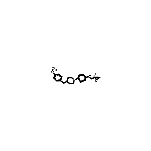 C[C@]1(COc2ccc(N3CCC(Cc4ccc(OC(F)(F)F)cc4)CC3)cc2)CO1